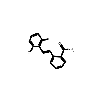 NC(=O)c1ccccc1N=Cc1c(F)cccc1Cl